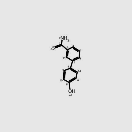 NC(=S)c1cccc(-c2ccc(O)cc2)c1